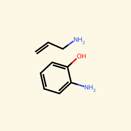 C=CCN.Nc1ccccc1O